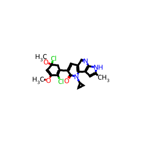 COC1=CC(Cl)(OC)CC(c2cc3cnc4[nH]c(C)cc4c3n(C3CC3)c2=O)=C1Cl